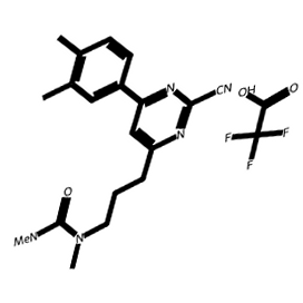 CNC(=O)N(C)CCCc1cc(-c2ccc(C)c(C)c2)nc(C#N)n1.O=C(O)C(F)(F)F